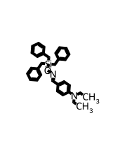 CCN(CC)c1ccc(C=NO[Si](Cc2ccccc2)(Cc2ccccc2)Cc2ccccc2)cc1